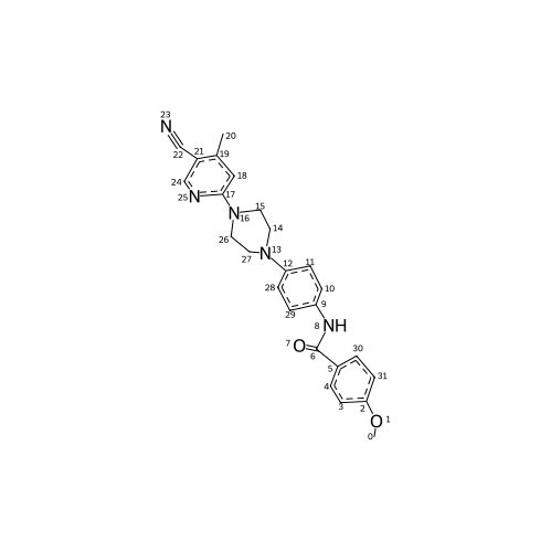 COc1ccc(C(=O)Nc2ccc(N3CCN(c4cc(C)c(C#N)cn4)CC3)cc2)cc1